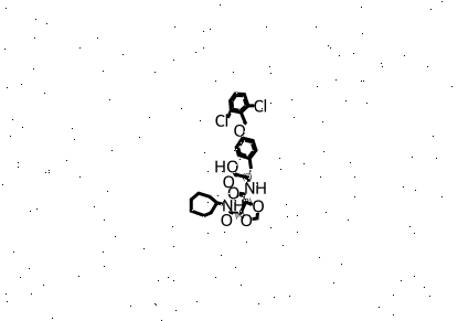 O=C(O)[C@H](Cc1ccc(OCc2c(Cl)cccc2Cl)cc1)NC(=O)[C@@H]1OCO[C@H]1C(=O)NC1CCCCCC1